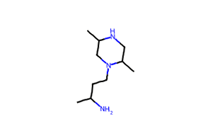 CC(N)CCN1CC(C)NCC1C